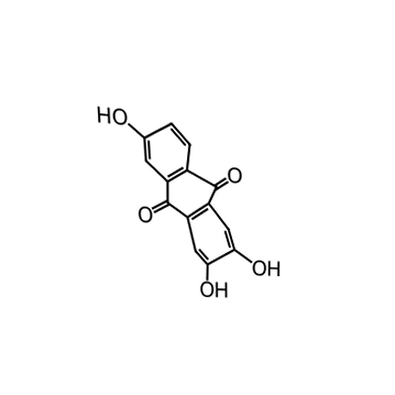 O=C1c2ccc(O)cc2C(=O)c2cc(O)c(O)cc21